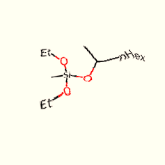 CCCCCCC(C)O[Si](C)(OCC)OCC